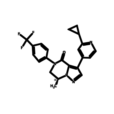 C[C@H]1CN(c2ccc(C(F)(F)F)cc2)C(=O)c2c(-c3ccnc(C4CC4)c3)cnn21